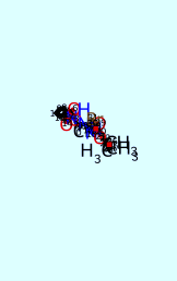 C[C@@H](CON1C(=O)c2ccccc2C1=O)Nc1cnn(COCC[Si](C)(C)C)c(=O)c1Br